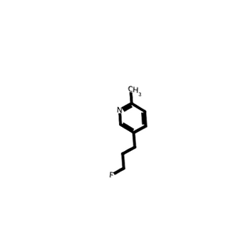 Cc1ccc(CCCF)cn1